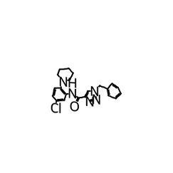 O=C(Nc1cc(Cl)ccc1N1CCCCC1)c1cn(Cc2ccccc2)nn1